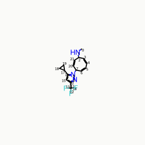 CNC1/C=C\C=CC(n2nc(C(F)(F)F)cc2C2CC2)/C=C\1